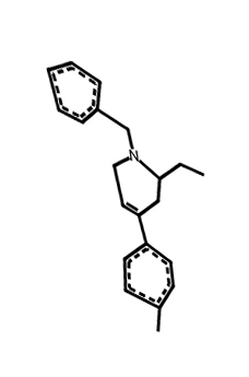 CCC1CC(c2ccc(C)cc2)=CCN1Cc1ccccc1